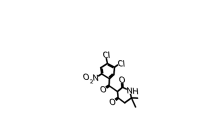 CC1(C)CC(=O)C(C(=O)c2cc(Cl)c(Cl)cc2[N+](=O)[O-])C(=O)N1